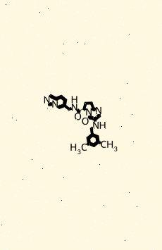 Cc1cc(C)cc(CNc2cnc3n(c2=O)[C@H](C(=O)NCc2ccc4cncn4c2)CC3)c1